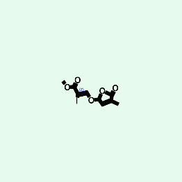 COC(=O)/C(I)=C/OC1C=C(C)C(=O)O1